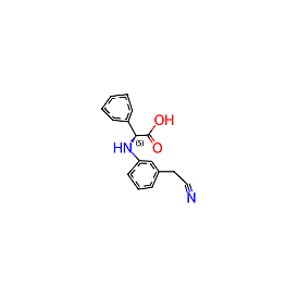 N#CCc1cccc(N[C@H](C(=O)O)c2ccccc2)c1